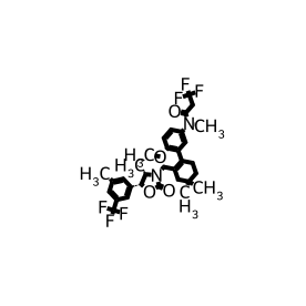 COc1ccc(N(C)C(=O)CC(F)(F)F)cc1C1=C(CN2C(=O)O[C@H](c3cc(C)cc(C(F)(F)F)c3)[C@@H]2C)CC(C)(C)CC1